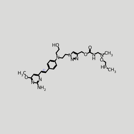 COc1cc(/C=C/c2ccc(N(CCO)CCn3cc(COC(=O)NCN(C)OCPC)nn3)cc2)nc(N)n1